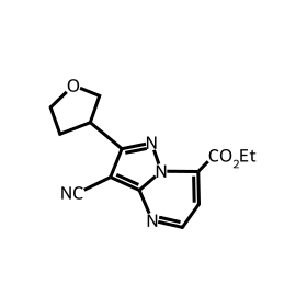 CCOC(=O)c1ccnc2c(C#N)c(C3CCOC3)nn12